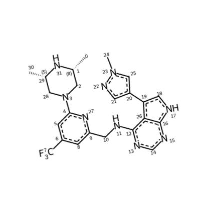 C[C@@H]1CN(c2cc(C(F)(F)F)cc(CNc3ncnc4[nH]cc(-c5cnn(C)c5)c34)n2)C[C@H](C)N1